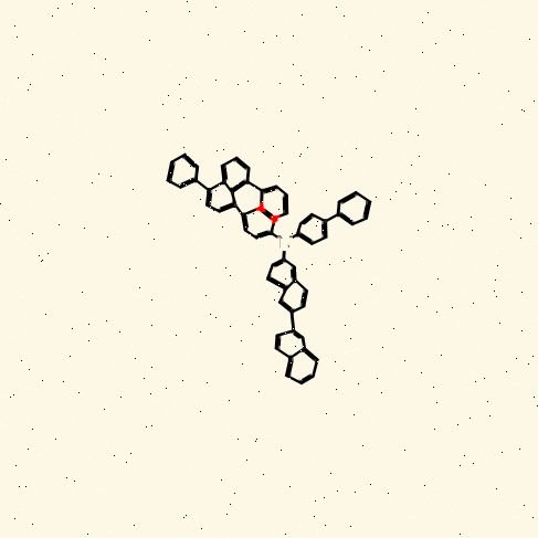 c1ccc(-c2ccc(N(c3ccc(-c4ccc(-c5ccccc5)c5cccc(-c6ccccc6)c45)cc3)c3ccc4cc(-c5ccc6ccccc6c5)ccc4c3)cc2)cc1